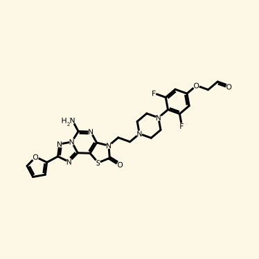 Nc1nc2c(sc(=O)n2CCN2CCN(c3c(F)cc(OCC=O)cc3F)CC2)c2nc(-c3ccco3)nn12